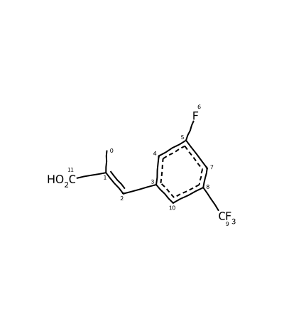 CC(=Cc1cc(F)cc(C(F)(F)F)c1)C(=O)O